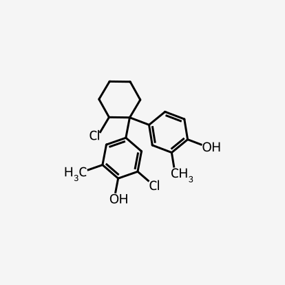 Cc1cc(C2(c3cc(C)c(O)c(Cl)c3)CCCCC2Cl)ccc1O